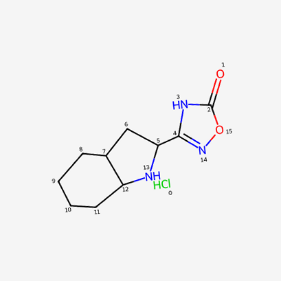 Cl.O=c1[nH]c(C2CC3CCCCC3N2)no1